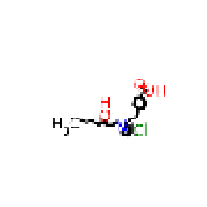 CCCCC[C@@H](O)CCN1CC[C@@H](Cl)[C@@H]1CCc1ccc(C(=O)O)cc1